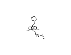 CCO[Si](CCCN)(CCc1ccccc1)OCC